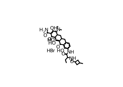 Br.CCC(NOC1CC(C)C1)C(=O)Nc1ccc2c(c1O)C(=O)C1=C(O)[C@]3(O)C(=O)C(C(N)=O)=C(O)[C@@H](N(C)C)C3CC1C2